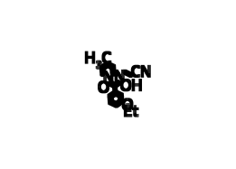 CCOc1cccc(-c2c(O)n(CCC#N)c3cc(C)cc[n+]3c2=O)c1